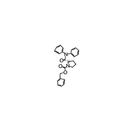 O=C([C@@H]1CCCN1C(=O)OCc1ccccc1)N(c1ccccc1)c1ccccc1